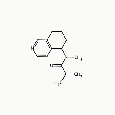 CC(C)C(=O)N(C)C1CCCc2cnccc21